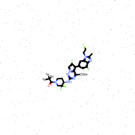 [2H]C([2H])([2H])C(=O)N1CC[C@@H](Nc2nc(OC)c3c(-c4cc(F)c5nc(C)n(CCF)c5c4)c(F)cn3n2)C(F)(F)C1